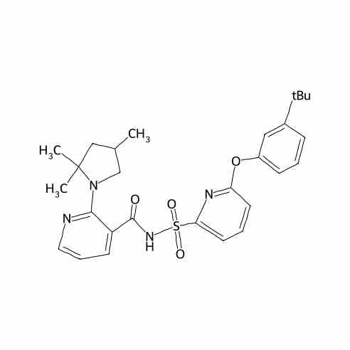 CC1CN(c2ncccc2C(=O)NS(=O)(=O)c2cccc(Oc3cccc(C(C)(C)C)c3)n2)C(C)(C)C1